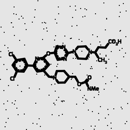 CNC(=O)OCC1CCN(Cc2cc(Oc3cnc(N4CCN(C(C)CCC(=O)O)CC4)nc3)nc(-c3cc(Cl)cc(Cl)c3)c2)CC1